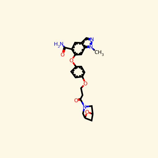 Cn1ncc2cc(C(N)=O)c(Oc3ccc(OCCC(=O)N4CC5CC(C4)O5)cc3)cc21